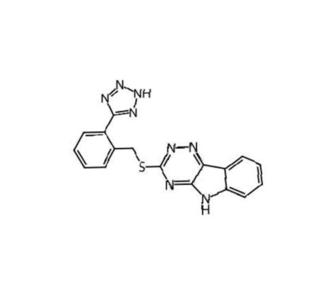 c1ccc(-c2nn[nH]n2)c(CSc2nnc3c(n2)[nH]c2ccccc23)c1